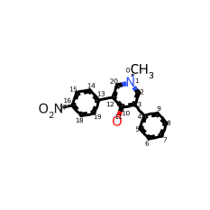 Cn1cc(-c2ccccc2)c(=O)c(-c2ccc([N+](=O)[O-])cc2)c1